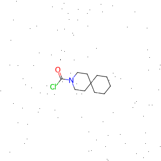 O=C(Cl)N1CCC2(CCCCC2)CC1